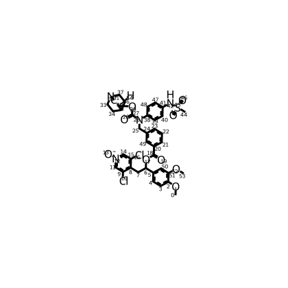 COc1ccc(C(Cc2c(Cl)c[n+]([O-])cc2Cl)OC(=O)c2cccc(CN(C(=O)O[C@H]3CN4CCC3CC4)c3ccc(NS(C)(=O)=O)cc3)c2)cc1OC